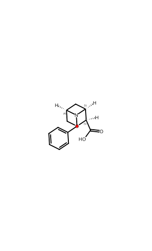 O=C(O)[C@H]1OC[C@H]2C[C@@H]1N2Cc1ccccc1